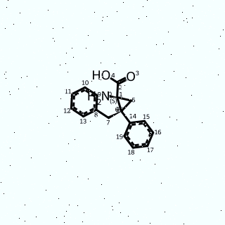 N[C@@]1(C(=O)O)C[C@]1(Cc1ccccc1)c1ccccc1